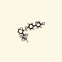 CS(=O)(=O)N[C@H]1CCCO[C@@H]1COc1ccc(-c2ccc(Cl)cn2)cc1